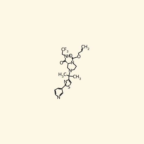 C=CCOC(=O)N1CCN(C(C)(C)c2csc(-c3cccnc3)n2)C[C@H]1C(=O)NCC(F)(F)F